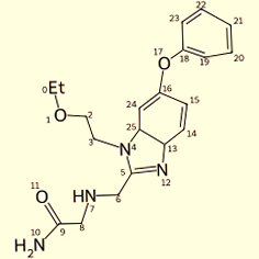 CCOCCN1C(CNCC(N)=O)=NC2C=CC(Oc3ccccc3)=CC21